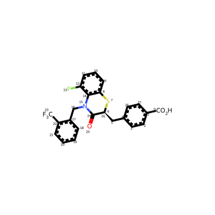 O=C(O)c1ccc(C[C@@H]2Sc3cccc(F)c3N(Cc3ccccc3C(F)(F)F)C2=O)cc1